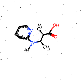 [2H]N(c1ccccn1)[C@H](C)[C@@H](C)C(=O)O